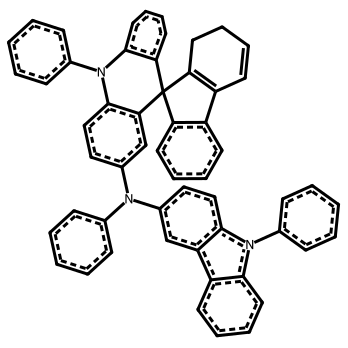 C1=CC2=C(CC1)C1(c3ccccc32)c2ccccc2N(c2ccccc2)c2ccc(N(c3ccccc3)c3ccc4c(c3)c3ccccc3n4-c3ccccc3)cc21